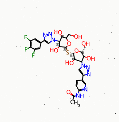 CC(=O)Nc1ccc(-c2cn(C3C(O)[C@@H](CO)O[C@@H](S[C@@H]4OC(CO)[C@H](O)C(n5cc(-c6cc(F)c(F)c(F)c6)nn5)[C@@H]4O)[C@@H]3O)nn2)cn1